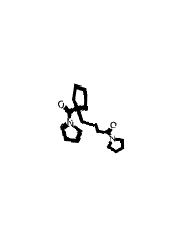 O=C(CCCC1(C(=O)N2CCCC2)CCCC1)N1CCCC1